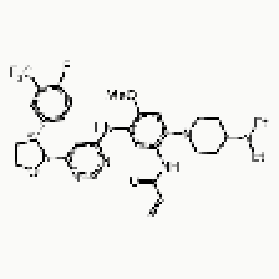 C=CC(=O)Nc1cc(Nc2cc(N3OCC[C@@H]3c3ccc(F)c(C(F)(F)F)c3)ncn2)c(OC)cc1N1CCC(N(CC)CC)CC1